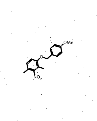 COc1ccc(COc2ccc(C)c([N+](=O)[O-])c2C)cc1